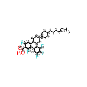 CCCCCC1CCC(C2CCC(c3cc(F)c(C(=O)O)c(F)c3-c3cc(F)c(F)c(F)c3)CC2)CC1